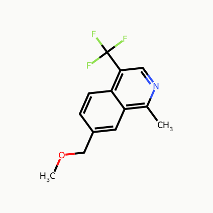 COCc1ccc2c(C(F)(F)F)cnc(C)c2c1